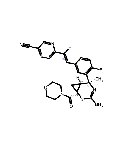 C[C@]1(c2cc(/C=C(\F)c3cnc(C#N)cn3)ccc2F)N=C(N)S[C@@]2(C(=O)N3CCOCC3)C[C@H]21